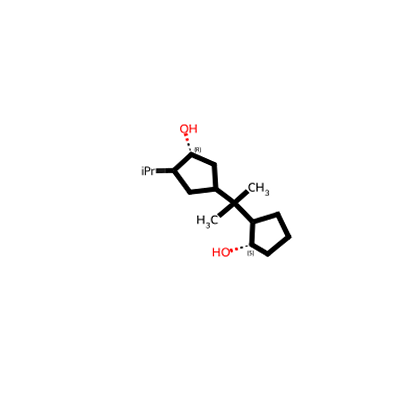 CC(C)C1CC(C(C)(C)C2CCC[C@@H]2O)C[C@H]1O